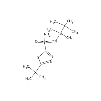 CC(C)(C)c1ncc(S(N)(=O)=N[Si](C)(C)C(C)(C)C)s1